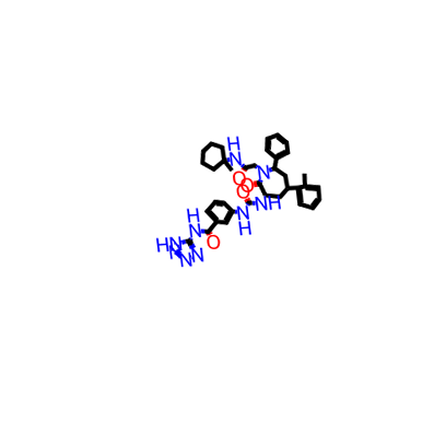 Cc1ccccc1C1CC(NC(=O)Nc2cccc(C(=O)Nc3nnn[nH]3)c2)C(=O)N(CC(=O)NC2(C)CCCCC2)C(c2ccccc2)C1